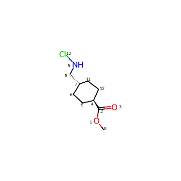 COC(=O)[C@H]1CC[C@H](CNCl)CC1